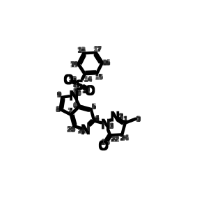 CC1=NN(c2cc3c(ccn3S(=O)(=O)c3ccccc3)cn2)C(=O)C1